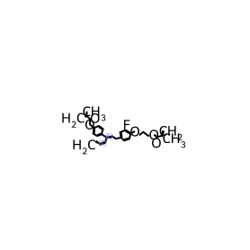 C=C/C=C\C(=C/Cc1ccc(OCCCOC(=O)C(=C)C)c(F)c1)c1ccc(OC(=O)C(=C)C)cc1